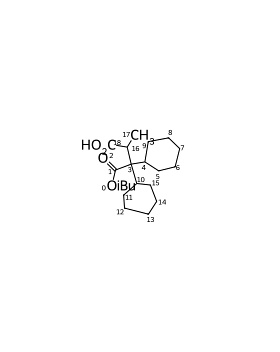 CC(C)COC(=O)C(C1CCCCC1)(C1CCCCC1)C(C)C(=O)O